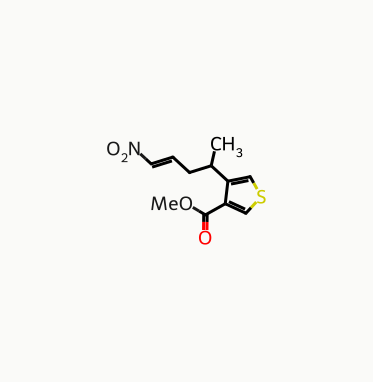 COC(=O)c1cscc1C(C)CC=C[N+](=O)[O-]